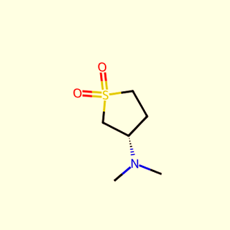 CN(C)[C@H]1CCS(=O)(=O)C1